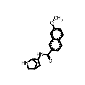 COc1ccc2ccc(C(=O)NC3CC4CNC3C4)cc2c1